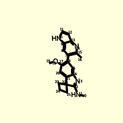 CNC1=Nc2cc(-c3cc4[nH]ccc4nc3C)c(OC)cc2C12CCC2